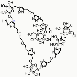 C[C@@]1(O[C@H]2O[C@H](CO)[C@H](Cl)[C@H](O)[C@H]2O)O[C@H](Cn2cc(COCc3cn(C[C@H]4O[C@H](OCc5cn(CCOCCOCCN/C=C(/CO[C@H]6O[C@H](Cn7cc(COCc8cn(C[C@H]9O[C@@](CCl)(O[C@H]%10O[C@H](CO)[C@H](Cl)[C@H](O)[C@H]%10O)[C@@H](O)[C@@H]9O)nn8)nn7)[C@@H](O)[C@H](O)[C@@H]6O)N=N)nn5)[C@@H](O)[C@@H](O)[C@@H]4O)nn3)nn2)[C@@H](O)[C@@H]1O